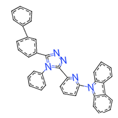 c1ccc(-c2cccc(-c3nnc(-c4cccc(-n5c6ccccc6c6ccccc65)n4)n3-c3ccccc3)c2)cc1